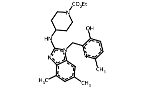 CCOC(=O)N1CCC(Nc2nc3c(C)cc(C)cc3n2Cc2nc(C)ccc2O)CC1